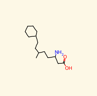 CC(CCC(N)CC(=O)O)CCC1CCCCC1